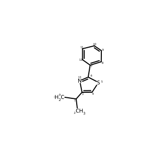 [CH2]C(C)c1csc(-c2ccccc2)n1